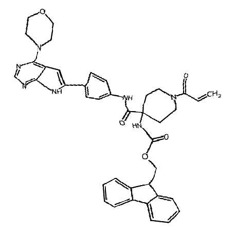 C=CC(=O)N1CCC(NC(=O)OCC2c3ccccc3-c3ccccc32)(C(=O)Nc2ccc(-c3cc4c(N5CCOCC5)ncnc4[nH]3)cc2)CC1